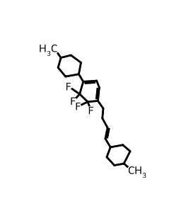 CC1CCC(/C=C/CCC2=CC=C(C3CCC(C)CC3)C(F)(F)C2(F)F)CC1